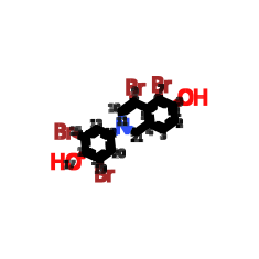 Oc1ccc2c(c1Br)C(Br)=CN(c1cc(Br)c(O)c(Br)c1)C2